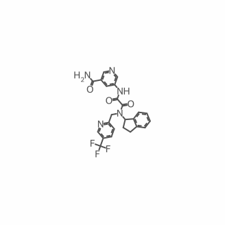 NC(=O)c1cncc(NC(=O)C(=O)N(Cc2ccc(C(F)(F)F)cn2)C2CCc3ccccc32)c1